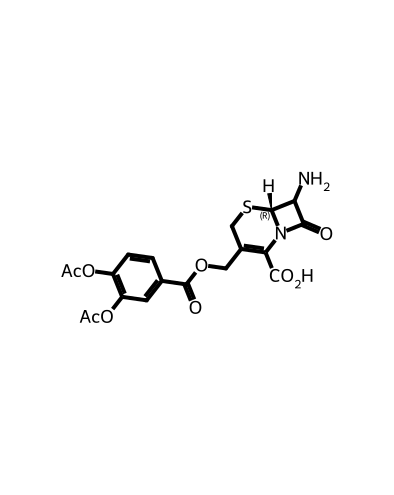 CC(=O)Oc1ccc(C(=O)OCC2=C(C(=O)O)N3C(=O)C(N)[C@H]3SC2)cc1OC(C)=O